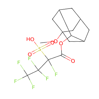 COC12CC3CC(C1)C(OC(=O)C(F)(C(F)(F)C(F)(F)F)S(=O)(=O)O)C(C3)C2